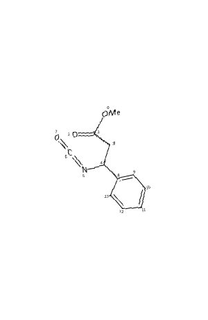 COC(=O)CC(N=C=O)c1ccccc1